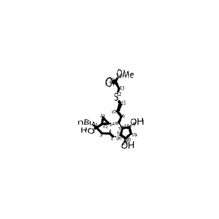 CCCCC(O)(CCC[C@@H]1[C@@H](CCC=CSCC(=O)OC)[C@H](O)C[C@H]1O)C1CC1